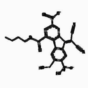 CCCCOC(=O)c1cc([N+](=O)[O-])cc2c1-c1cc(CO)c([NH+]([O-])O)cc1C2=C(C#N)C#N